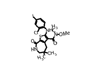 CON(C)C(=O)c1c(Nc2ccc(I)cc2Cl)sc2c1CC(C)(C)CNC2=O